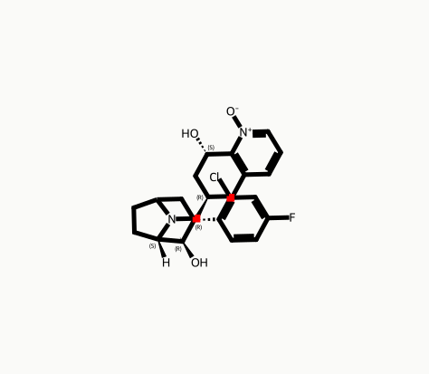 [O-][n+]1cccc2c1[C@@H](O)C[C@H](CN1C3CC[C@H]1[C@H](O)[C@@H](c1ccc(F)cc1Cl)C3)C2